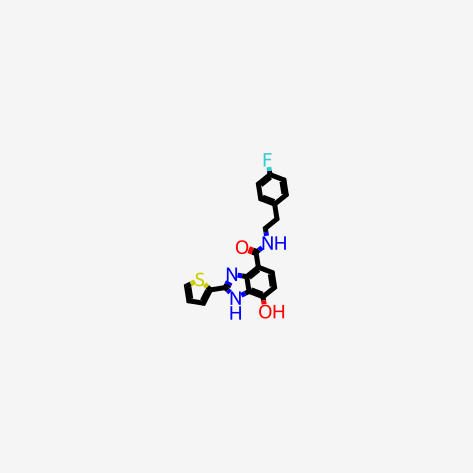 O=C(NCCc1ccc(F)cc1)c1ccc(O)c2[nH]c(-c3cccs3)nc12